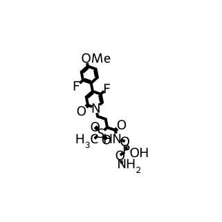 COc1ccc(-c2cc(=O)n(CCC(C(=O)NOP(O)ON)S(C)(=O)=O)cc2F)c(F)c1